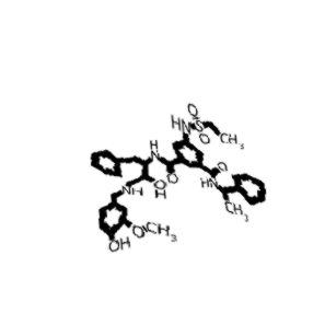 CCS(=O)(=O)Nc1cc(C(=O)NC(C)c2ccccc2)cc(C(=O)NC(Cc2ccccc2)C(O)CNCc2ccc(O)c(OC)c2)c1